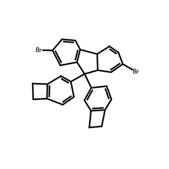 BrC1=CC2C(C=C1)c1ccc(Br)cc1C2(c1ccc2c(c1)CC2)c1ccc2c(c1)CC2